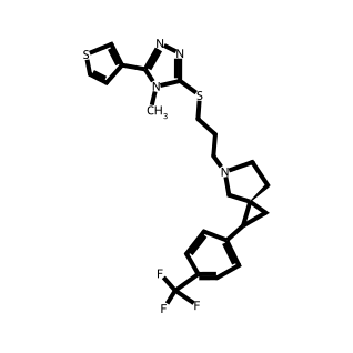 Cn1c(SCCCN2CC[C@]3(CC3c3ccc(C(F)(F)F)cc3)C2)nnc1-c1ccsc1